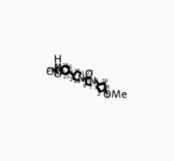 COc1ccc(CN2CC[C@@H](N3CCC(c4ccc5[nH]c(=O)oc5c4)CC3)C2=O)cc1